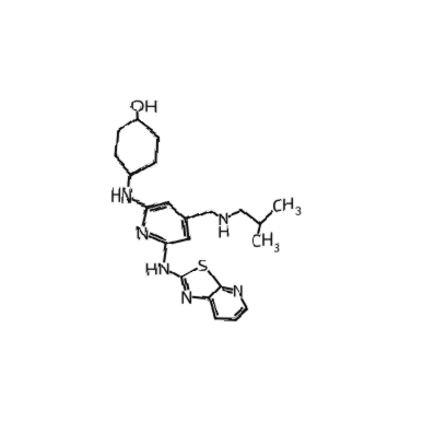 CC(C)CNCc1cc(Nc2nc3cccnc3s2)nc(NC2CCC(O)CC2)c1